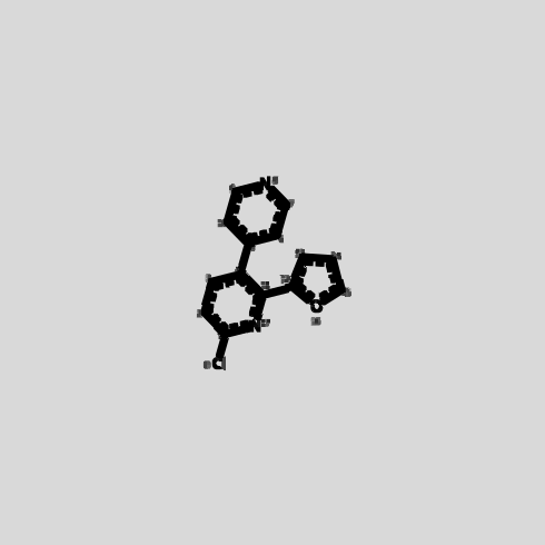 Clc1ccc(-c2ccncc2)c(-c2ccco2)n1